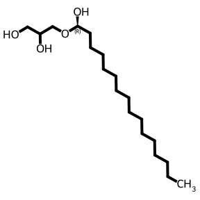 CCCCCCCCCCCCCCC[C@H](O)OCC(O)CO